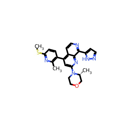 CSc1ccc(-c2cc(N3CCOC[C@H]3C)nc3c(-c4ccn[nH]4)nccc23)c(C)n1